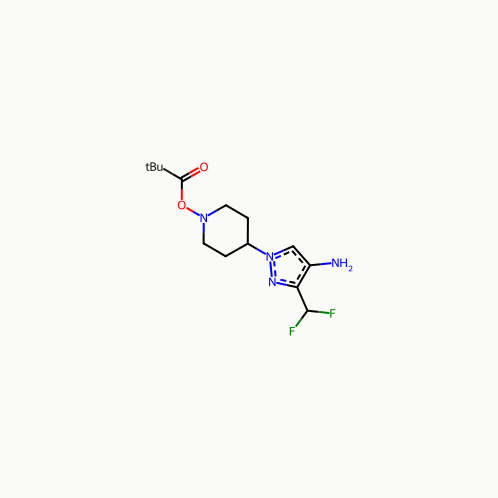 CC(C)(C)C(=O)ON1CCC(n2cc(N)c(C(F)F)n2)CC1